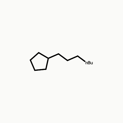 CCCCCCCC1CCCC1